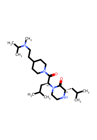 CC(C)C[C@@H]1NCCN([C@@H](CC(C)C)C(=O)N2CCC(CCN(C)C(C)C)CC2)C1=O